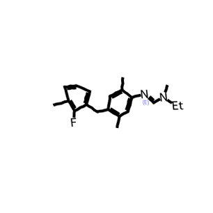 CCN(C)/C=N/c1cc(C)c(Cc2cccc(C)c2F)cc1C